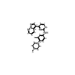 Cc1cc(Nc2nccc(-c3cnn4ncccc34)n2)ccc1N1CCN(C)CC1